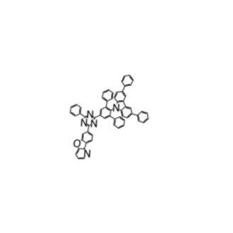 c1ccc(-c2ccc3c(c2)c2cc(-c4ccccc4)ccc2n3-c2c(-c3ccccc3)cc(-c3nc(-c4ccccc4)nc(-c4ccc5c(c4)oc4cccnc45)n3)cc2-c2ccccc2)cc1